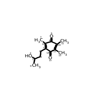 C[C](O)CCC1=C(C)C(=O)C(C)=C(C)C1=O